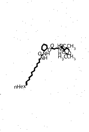 CCCCCCC=CCC=CCCCCCCCNC(=O)NC1CCCCC1OC(=O)CCNC(=O)C1OC(C)(C)OCC1(C)C